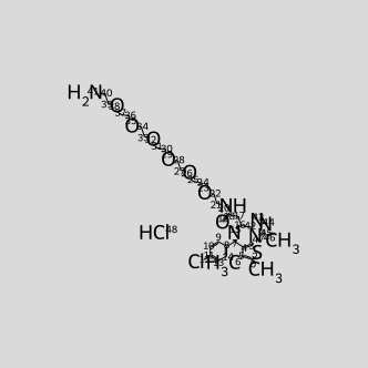 Cc1sc2c(c1C)C(c1ccc(Cl)cc1)=N[C@@H](CC(=O)NCCOCCOCCOCCOCCOCCOCCN)c1nnc(C)n1-2.Cl